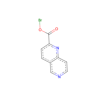 O=C(OBr)c1ccc2cnccc2n1